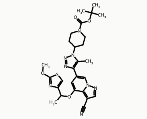 COc1nc(C(C)Oc2cc(-c3nnn(C4CCN(C(=O)OC(C)(C)C)CC4)c3C)cn3ncc(C#N)c23)cs1